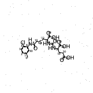 Cc1ccc(Cl)c(NC(=O)CSCC(NC(=O)NC(CCC(=O)O)C(=O)O)C(=O)O)c1